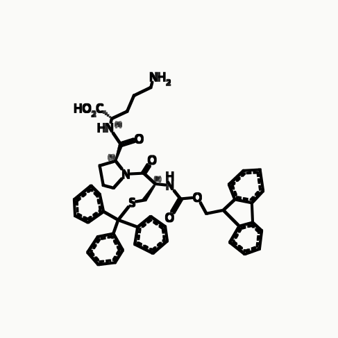 NCCC[C@H](NC(=O)[C@@H]1CCCN1C(=O)[C@H](CSC(c1ccccc1)(c1ccccc1)c1ccccc1)NC(=O)OCC1c2ccccc2-c2ccccc21)C(=O)O